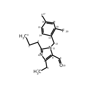 CCCc1nc(CC)c(C=O)n1Cc1ccc(I)cc1F